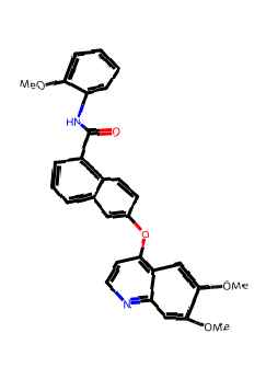 COc1ccccc1NC(=O)c1cccc2cc(Oc3ccnc4cc(OC)c(OC)cc34)ccc12